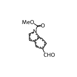 COC(=O)n1ccc2cc(C=O)ccc21